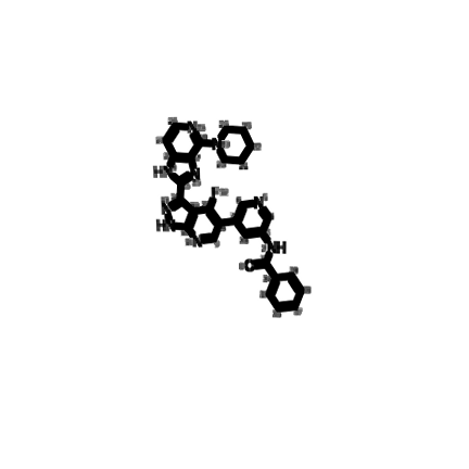 O=C(Nc1cncc(-c2cnc3[nH]nc(-c4nc5c(N6CCCCC6)nccc5[nH]4)c3c2F)c1)c1ccccc1